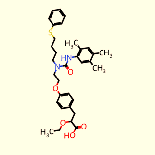 CCOC(Cc1ccc(OCCN(CCCCSc2ccccc2)C(=O)Nc2cc(C)c(C)cc2C)cc1)C(=O)O